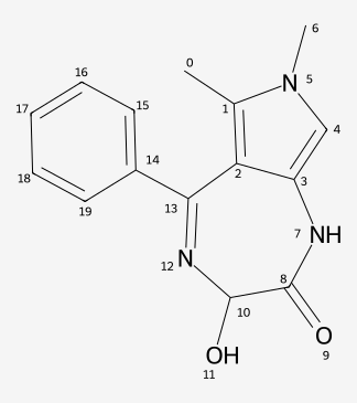 Cc1c2c(cn1C)NC(=O)C(O)N=C2c1ccccc1